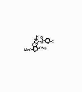 COc1ccc(OC)c2c1SC1=NNC(NC(=O)c3ccc(Cl)cc3)N12